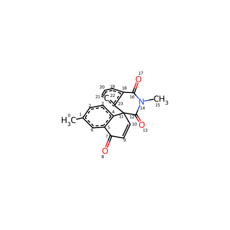 Cc1ccc2c(c1)C(=O)C=CC21C(=O)N(C)C(=O)c2ccccc21